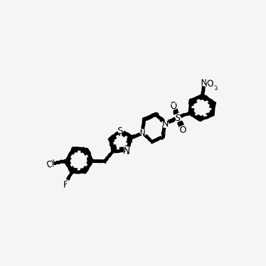 O=[N+]([O-])c1cccc(S(=O)(=O)N2CCN(c3nc(Cc4ccc(Cl)c(F)c4)cs3)CC2)c1